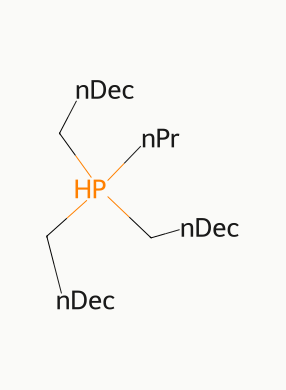 CCCCCCCCCCC[PH](CCC)(CCCCCCCCCCC)CCCCCCCCCCC